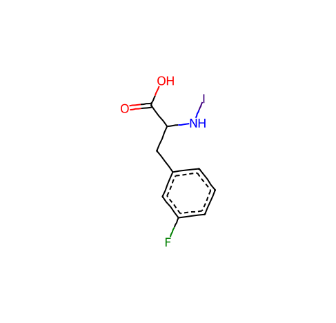 O=C(O)C(Cc1cccc(F)c1)NI